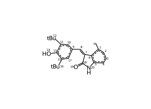 Cc1cccc2c1C(=Cc1cc(C(C)(C)C)c(O)c(C(C)(C)C)c1)C(=O)N2